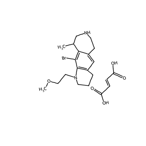 COCCN1CCCc2cc3c(c(Br)c21)C(C)CNCC3.O=C(O)C=CC(=O)O